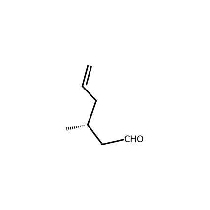 C=CC[C@@H](C)CC=O